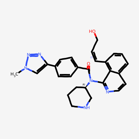 Cn1cc(-c2ccc(C(=O)N(c3nccc4cccc(/C=C\CO)c34)[C@@H]3CCCNC3)cc2)nn1